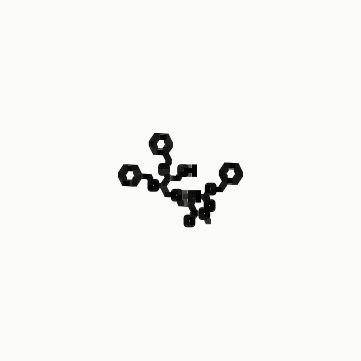 COC(=O)C(COCC(OCc1ccccc1)C(CO)OCc1ccccc1)NC(=O)OCc1ccccc1